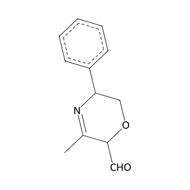 CC1=NC(c2ccccc2)COC1C=O